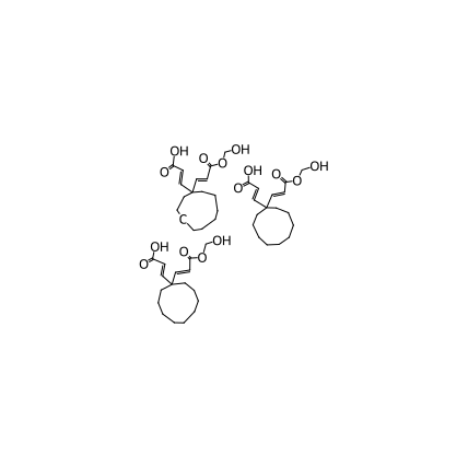 O=C(O)C=CC1(C=CC(=O)OCO)CCCCCCCCC1.O=C(O)C=CC1(C=CC(=O)OCO)CCCCCCCCC1.O=C(O)C=CC1(C=CC(=O)OCO)CCCCCCCCC1